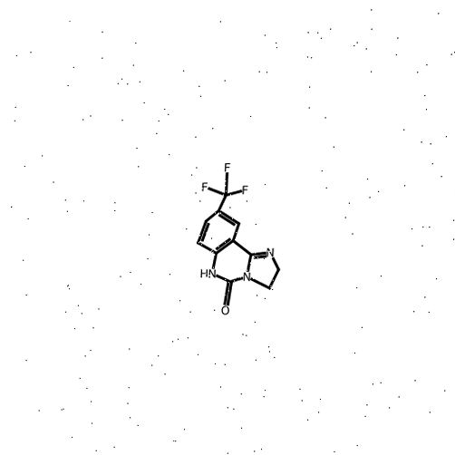 O=C1Nc2ccc(C(F)(F)F)cc2C2=NCCN12